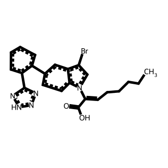 CCCCC/C=C(/C(=O)O)n1cc(Br)c2cc(-c3ccccc3-c3nn[nH]n3)ccc21